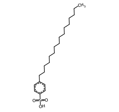 CCCCCCCCCCCCCCCCc1ccc(S(=O)(=O)O)cc1